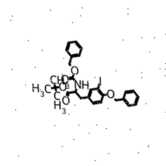 CC(C)(C)OC(=O)C(Cc1ccc(OCc2ccccc2)c(I)c1)NC(=O)OCc1ccccc1